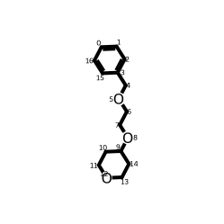 c1ccc(COCCOC2CCOCC2)cc1